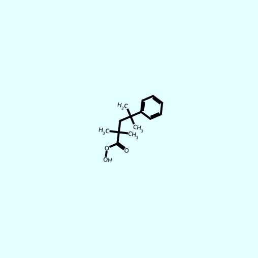 CC(C)(CC(C)(C)c1ccccc1)C(=O)OO